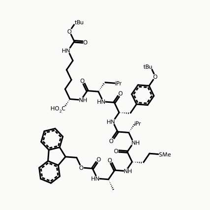 CSCC[C@H](NC(=O)[C@H](C)NC(=O)OCC1c2ccccc2-c2ccccc21)C(=O)N[C@H](C(=O)N[C@@H](Cc1ccc(OC(C)(C)C)cc1)C(=O)N[C@@H](CC(C)C)C(=O)N[C@@H](CCCCNC(=O)OC(C)(C)C)C(=O)O)C(C)C